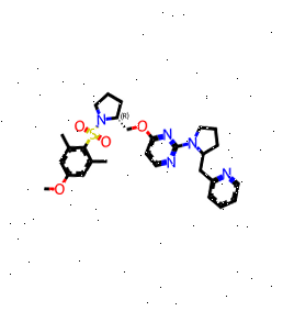 COc1cc(C)c(S(=O)(=O)N2CCC[C@@H]2COc2ccnc(N3CCCC3Cc3ccccn3)n2)c(C)c1